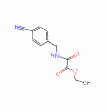 CCOC(=O)C(=O)NCc1ccc(C#N)cc1